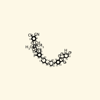 CC1(C)C(NC(=O)c2c(F)cc(N3CCC(CN4CCN(c5ccc6c(c5)C(=O)N(C5CCC(=O)NC5=O)C6=O)CC4)CC3)cc2F)C(C)(C)C1Oc1ccc(C#N)c(Cl)c1